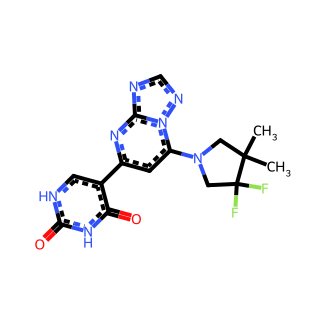 CC1(C)CN(c2cc(-c3c[nH]c(=O)[nH]c3=O)nc3ncnn23)CC1(F)F